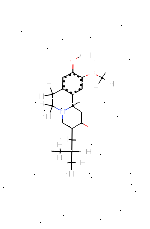 [2H]C([2H])([2H])Oc1cc2c(cc1OC)C([2H])([2H])C([2H])([2H])N1CC(C([2H])([2H])C(C)(C([2H])([2H])[2H])C([2H])([2H])[2H])C(O)CC21[2H]